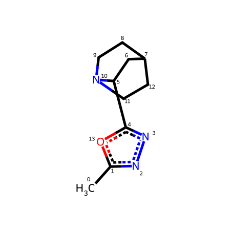 Cc1nnc(C2CC3CCN2CC3)o1